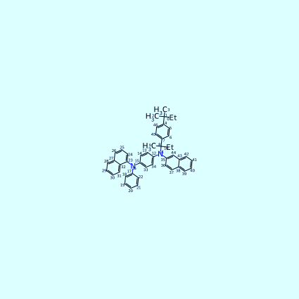 CCC(C)(C)c1ccc(C(C)(CC)N(c2ccc(N(c3ccccc3)c3cccc4ccccc34)cc2)c2ccc3ccccc3c2)cc1